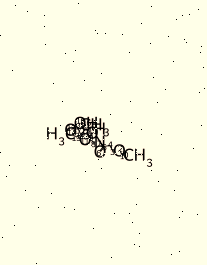 CCOCCC(=O)NCC(=O)OC(CC)(CC)C(=O)O